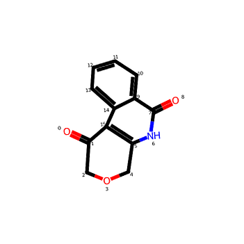 O=C1COCc2[nH]c(=O)c3ccccc3c21